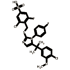 COc1cc(C(C)(C)c2cnc(SCc3c(F)cc(S(=O)(=O)O)cc3Cl)n2-c2ccc(F)cc2)ccc1Cl